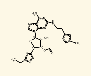 CCn1nnc([C@H]2O[C@@H](n3cnc4c(N)nc(NCCc5cn(C)cn5)nc43)[C@H](O)[C@@H]2OC=O)n1